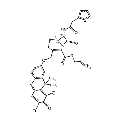 C=CCOC(=O)C1=C(COc2ccc3c(c2)C(C)(C)C2=C(Cl)C(=O)C(Cl)=CC2=N3)CS[C@H]2[C@H](NC(=O)Cc3cccs3)C(=O)N12